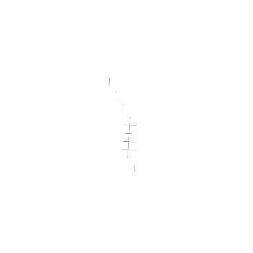 CCCCCCCCC(F)(F)C(F)(F)C(F)(F)C(F)(F)CCCO